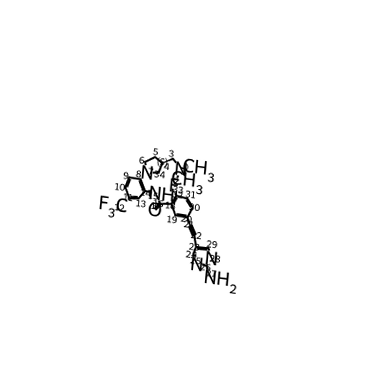 CN(C)C[C@@H]1CCN(c2ccc(C(F)(F)F)cc2NC(=O)c2cc(C#Cc3cnc(N)nc3)ccc2F)C1